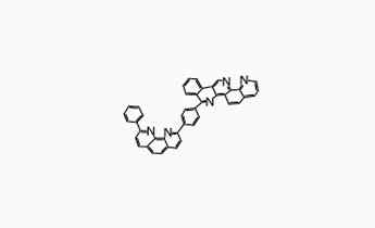 c1ccc(-c2ccc3ccc4ccc(-c5ccc(-c6nc7c(cnc8c7ccc7cccnc78)c7ccccc67)cc5)nc4c3n2)cc1